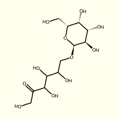 O=C(CO)C(O)C(O)C(O)CO[C@H]1O[C@H](CO)[C@H](O)[C@H](O)[C@H]1O